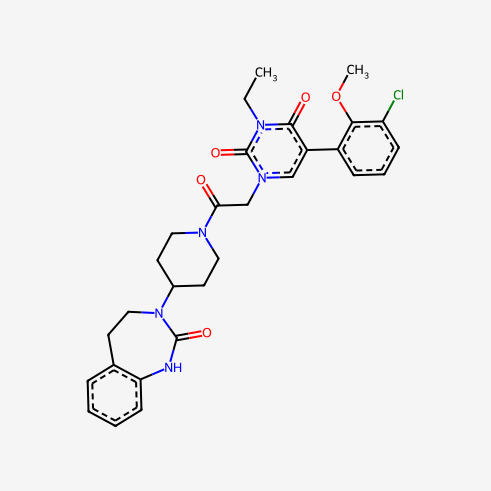 CCn1c(=O)c(-c2cccc(Cl)c2OC)cn(CC(=O)N2CCC(N3CCc4ccccc4NC3=O)CC2)c1=O